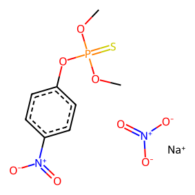 COP(=S)(OC)Oc1ccc([N+](=O)[O-])cc1.O=[N+]([O-])[O-].[Na+]